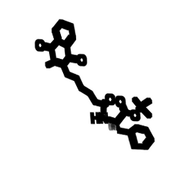 CC1=C(CCCCCC(=O)N[C@@H](Cc2ccccc2)C(=O)OC(C)(C)C)C(=O)c2ccccc2C1=O